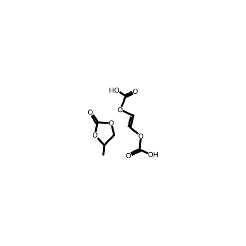 CC1COC(=O)O1.O=C(O)O/C=C/OC(=O)O